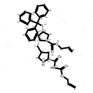 C=CCOC(=O)NC(=O)[C@@H]1CC(C[C@@H]2C[C@H](SC(c3ccccc3)(c3ccccc3)c3ccccc3)CN2C(=O)OCC=C)CN1